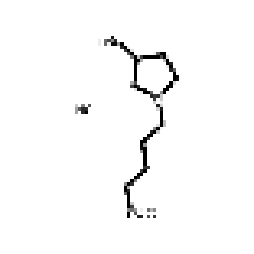 CCCCCCCCCCCCN1CCC(CCCC)C1.Cl